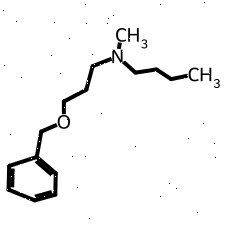 CCCCN(C)CCCOCc1ccccc1